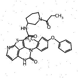 CCC(=O)N1CCCC(NC(=O)c2sc3nccc4c3c2N(c2ccc(Oc3ccccc3)cc2C)C(=O)N4)C1